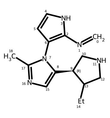 C=Nc1[nH]ccc1-n1c([C@H]2CNCC2CC)cnc1C